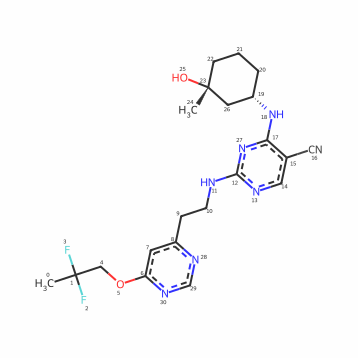 CC(F)(F)COc1cc(CCNc2ncc(C#N)c(N[C@H]3CCC[C@@](C)(O)C3)n2)ncn1